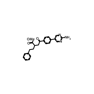 COC(=O)C(CCc1ccccc1)CC(=O)c1ccc(-c2cnc(N)nc2)cc1